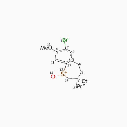 CCC1(C(C)C)CCc2cc(Br)c(OC)cc2[S+]([O-])C1